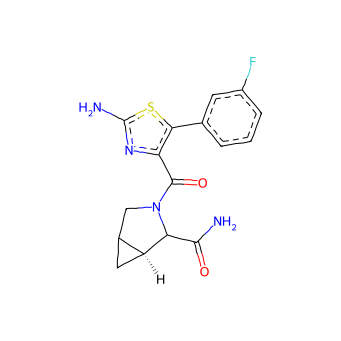 NC(=O)C1[C@H]2CC2CN1C(=O)c1nc(N)sc1-c1cccc(F)c1